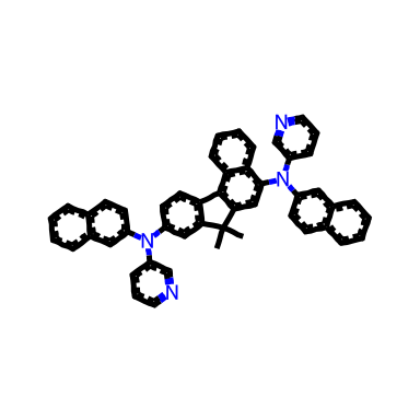 CC1(C)c2cc(N(c3cccnc3)c3ccc4ccccc4c3)ccc2-c2c1cc(N(c1cccnc1)c1ccc3ccccc3c1)c1ccccc21